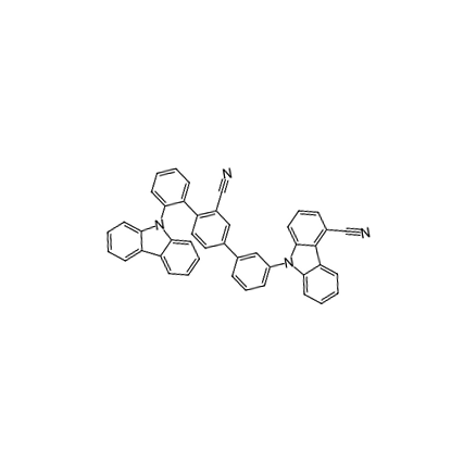 N#Cc1cc(-c2cccc(-n3c4ccccc4c4c(C#N)cccc43)c2)ccc1-c1ccccc1-n1c2ccccc2c2ccccc21